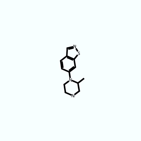 CC1C[N]CCN1c1ccc2cnsc2c1